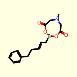 CN1CC(=O)OB(CC=CCCc2ccccc2)OC(=O)C1